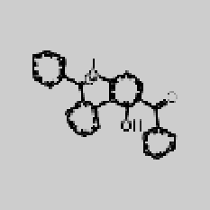 COc1ccc(C(=O)c2ccccc2)c(O)c1-c1ccccc1C(=O)c1ccccc1